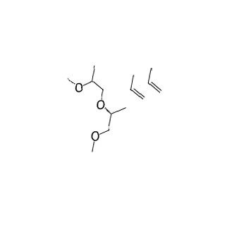 C=CC.C=CC.COCC(C)OCC(C)OC